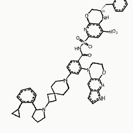 O=C(NS(=O)(=O)c1cc([N+](=O)[O-])c2c(n1)OC[C@H](Cc1ccccc1)N2)c1ccc(N2CCC3(CC2)CC(N2CCCC2c2ccccc2C2CC2)C3)cc1N1CCOc2nc3[nH]ccc3cc21